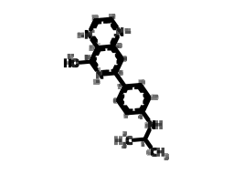 CC(C)Nc1ccc(-c2cc3nccnc3c(O)n2)cc1